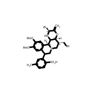 C=C1O[C@@H]2C(N[C@H]1C(C)C)[C@@H]1c3cc(OC)c(OC)cc3C(c3cc(C)ccc3S(=O)(=O)O)CN1C[C@H]2CC(C)C